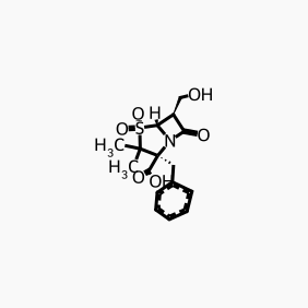 CC1(C)[C@](Cc2ccccc2)(C(=O)O)N2C(=O)[C@H](CO)[C@H]2S1(=O)=O